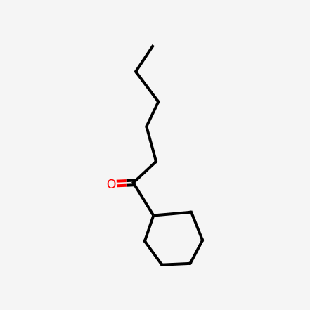 CCCCCC(=O)C1CCCCC1